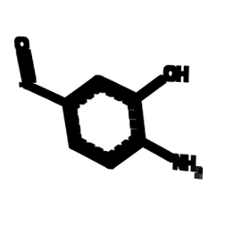 Nc1ccc([C]=O)cc1O